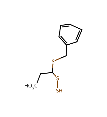 O=C(O)CC(SS)SCc1ccccc1